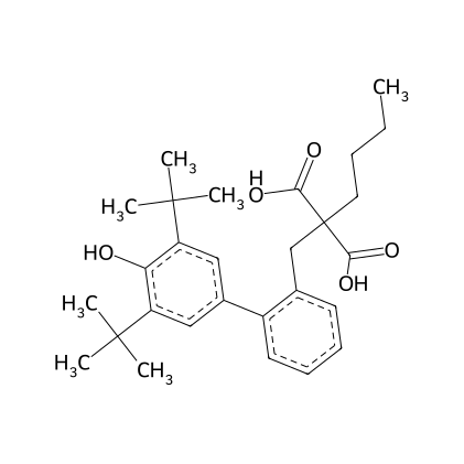 CCCCC(Cc1ccccc1-c1cc(C(C)(C)C)c(O)c(C(C)(C)C)c1)(C(=O)O)C(=O)O